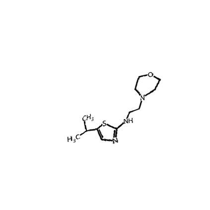 CC(C)c1cnc(NCCN2CCOCC2)s1